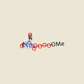 COCCOCCOCCOCCOC(=O)NCc1cc(CN=C=O)cc(CN=C=O)c1